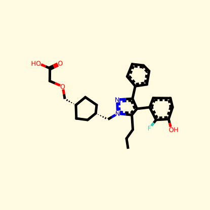 CCCc1c(-c2cccc(O)c2F)c(-c2ccccc2)nn1C[C@H]1CC[C@@H](COCC(=O)O)CC1